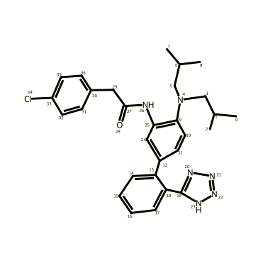 CC(C)CN(CC(C)C)c1ccc(-c2ccccc2-c2nnn[nH]2)cc1NC(=O)Cc1ccc(Cl)cc1